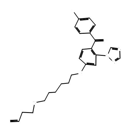 C=CCCNCCCCCCOc1ccc(C(=O)c2ccc(Br)cc2)c(-n2cncn2)c1